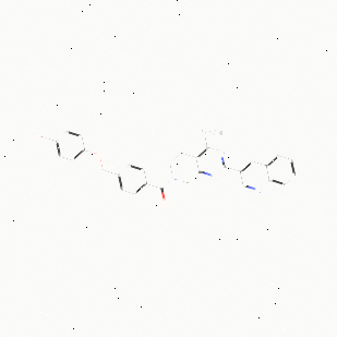 CNc1nc(-c2cnc3ccccc3c2)nc2c1CCN(C(=O)c1ccc(COc3ccc(I)cc3)cc1)C2